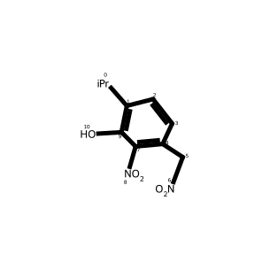 CC(C)c1ccc(C[N+](=O)[O-])c([N+](=O)[O-])c1O